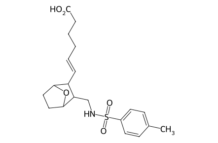 Cc1ccc(S(=O)(=O)NCC2C3CCC(O3)C2C=CCCCC(=O)O)cc1